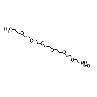 CCCOCCOCCOCCOCCOCCOCCNC=O